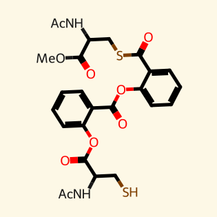 COC(=O)C(CSC(=O)c1ccccc1OC(=O)c1ccccc1OC(=O)C(CS)NC(C)=O)NC(C)=O